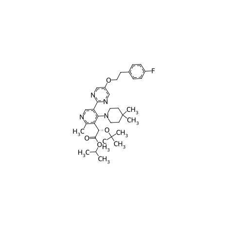 Cc1ncc(-c2ncc(OCCc3ccc(F)cc3)cn2)c(N2CCC(C)(C)CC2)c1[C@H](OC(C)(C)C)C(=O)OC(C)C